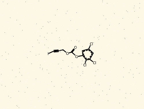 O=C(OCC#CI)Oc1cc(Cl)cc(Cl)c1Cl